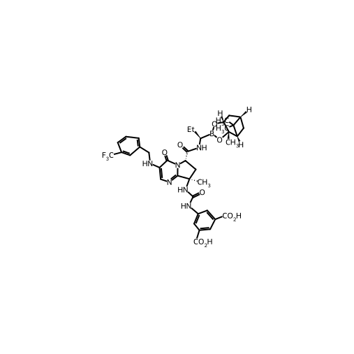 CC[C@H](NC(=O)[C@@H]1C[C@@](C)(NC(=O)Nc2cc(C(=O)O)cc(C(=O)O)c2)c2ncc(NCc3cccc(C(F)(F)F)c3)c(=O)n21)B1O[C@@H]2C[C@@H]3C[C@@H](C3(C)C)[C@]2(C)O1